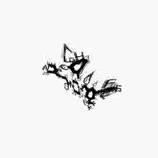 Cc1ccc(C[C@H]2CN(C(=O)C=Cc3cccnc3)CCN2C(=O)c2cc(C(F)(F)F)cc(C(F)(F)F)c2)cc1C